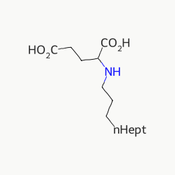 CCCCCCCCCCNC(CCC(=O)O)C(=O)O